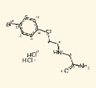 Cl.Cl.NC(=O)CNCCSc1ccc(Br)cc1